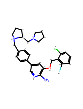 Nc1ncc(-c2ccc([CH]N3CCC[C@H]3CN3CCCC3)cc2)cc1OCc1c(F)cccc1Cl